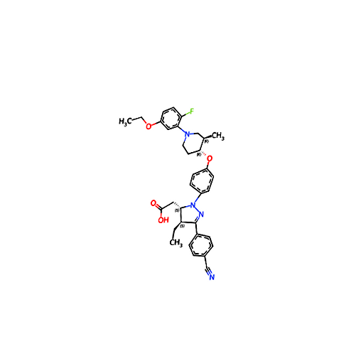 CCOc1ccc(F)c(N2CC[C@@H](Oc3ccc(N4N=C(c5ccc(C#N)cc5)[C@@H](CC)[C@@H]4CC(=O)O)cc3)[C@H](C)C2)c1